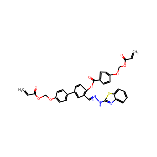 C=CC(=O)OCOc1ccc(C(=O)Oc2ccc(-c3ccc(OCOC(=O)C=C)cc3)cc2/C=N/Nc2nc3ccccc3s2)cc1